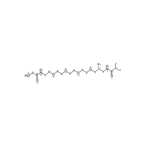 CC(C)C(=O)NCC(F)COCCOCCOCCOCCNC(=O)CO